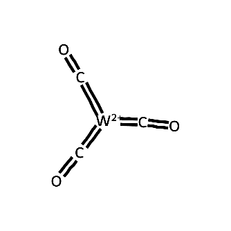 O=[C]=[W+2](=[C]=O)=[C]=O